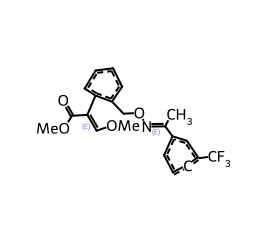 CO/C=C(/C(=O)OC)c1ccccc1CO/N=C(\C)c1cccc(C(F)(F)F)c1